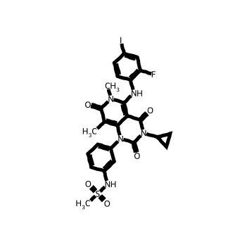 Cc1c(=O)n(C)c(Nc2ccc(I)cc2F)c2c(=O)n(C3CC3)c(=O)n(-c3cccc(NS(C)(=O)=O)c3)c12